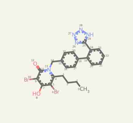 CCCCc1c(Br)c(O)c(Br)c(=O)n1Cc1ccc(-c2ccccc2-c2nnn[nH]2)cc1